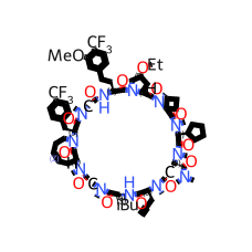 C#CC[C@H]1C(=O)N[C@@H]([C@@H](C)CC)C(=O)N(C)CC(=O)N(C)[C@H]2C/C=C\CCN(C2=O)[C@@H](Cc2ccc(C(F)(F)F)cc2)C(=O)N(C)CC(=O)N[C@@H](CCc2ccc(C(F)(F)F)c(OC)c2)C(=O)N2C[C@H](OCC)C[C@H]2C(=O)N(C)C2(CCC2)C(=O)N(C)[C@@H](C2CCCC2)C(=O)N(C)[C@H](C(=O)N(C)C)CC(=O)N1C